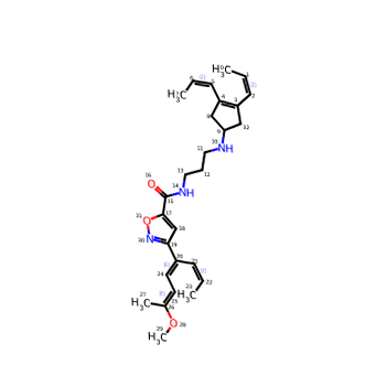 C/C=C\C1=C(/C=C\C)CC(NCCCNC(=O)c2cc(C(/C=C\C)=C/C=C(\C)OC)no2)C1